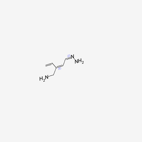 C=C/C(=C\C=N/N)CN